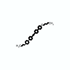 CCCCCOc1ccc(-c2ccc(C#Cc3ccc([C@H]4CC[C@H](CCCC)CC4)cc3)cc2)cc1